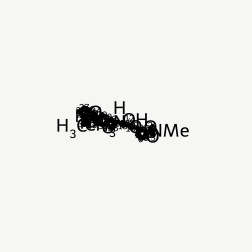 CNS(=O)(=O)c1cccc(OC[C@@H](O)CNC2COC3(CCN(S(=O)(=O)c4cccnc4N(C)C)CC3)C2)c1